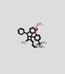 C=C1/C(=C\C=C/C)C2(c3cc(C(C)(C)C)ccc3OCOC)c3ccccc3C(C3C=CC=CC3)C12